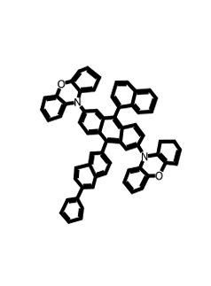 C1=CC2=C(CC1)N(c1ccc3c(-c4cccc5ccccc45)c4cc(N5c6ccccc6Oc6ccccc65)ccc4c(-c4ccc5cc(-c6ccccc6)ccc5c4)c3c1)c1ccccc1O2